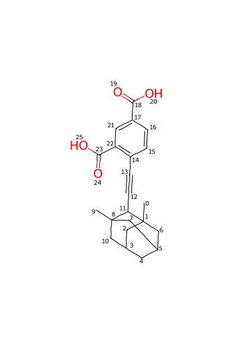 CC12CC3CC(C1)CC(C)(C3)C2C#Cc1ccc(C(=O)O)cc1C(=O)O